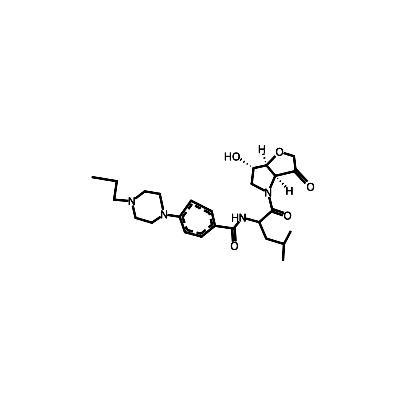 CCCN1CCN(c2ccc(C(=O)NC(CC(C)C)C(=O)N3C[C@H](O)[C@H]4OCC(=O)[C@H]43)cc2)CC1